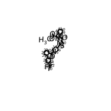 COC(=O)c1nn(C(=O)c2csc(C3CCN(C(=O)c4ccccc4-c4ccc(C(F)(F)F)cc4)CC3)n2)c2ccccc12